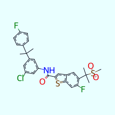 CC(C)(c1ccc(F)cc1)c1cc(Cl)cc(NC(=O)c2cc3cc(C(C)(C)S(C)(=O)=O)c(F)cc3s2)c1